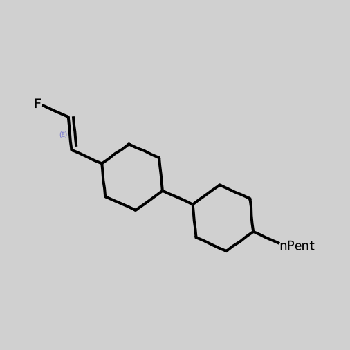 CCCCCC1CCC(C2CCC(/C=C/F)CC2)CC1